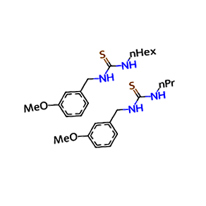 CCCCCCNC(=S)NCc1cccc(OC)c1.CCCNC(=S)NCc1cccc(OC)c1